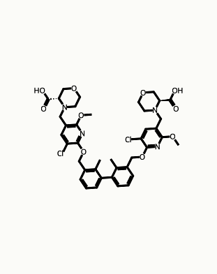 COc1nc(OCc2cccc(-c3cccc(COc4nc(OC)c(CN5CCOC[C@H]5C(=O)O)cc4Cl)c3C)c2C)c(Cl)cc1CN1CCOC[C@H]1C(=O)O